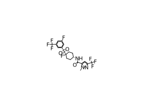 Cn1nc(C(F)(F)F)cc1C(=O)N[C@H]1CC[C@@](F)(S(=O)(=O)c2cc(F)cc(C(F)(F)F)c2)CC1